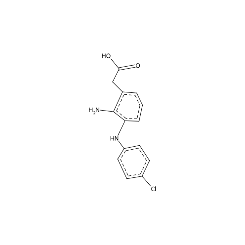 Nc1c(CC(=O)O)cccc1Nc1ccc(Cl)cc1